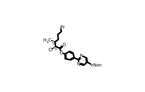 CCCCCCCCCc1cnc(-c2ccc(OC(=O)[C@@H](Cl)[C@@H](C)CCCC(C)C)cc2)nc1